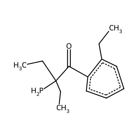 CCc1ccccc1C(=O)C(P)(CC)CC